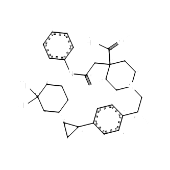 C[C@@H](CN1CCC(CC(=O)N(c2ccccc2)[C@@H]2CCCC(F)(F)C2)(C(=O)O)CC1)c1ccc(C2CC2)cc1